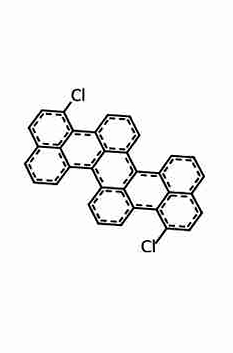 Clc1ccc2cccc3c2c1c1cccc2c1c3c1cccc3c4c(Cl)ccc5cccc(c54)c2c31